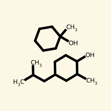 CC(C)CC1CCC(O)C(C)C1.CC1(O)CCCCC1